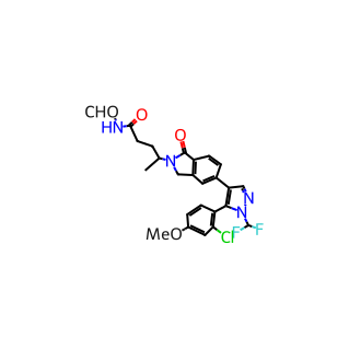 COc1ccc(-c2c(-c3ccc4c(c3)CN(C(C)CCC(=O)NC=O)C4=O)cnn2C(F)F)c(Cl)c1